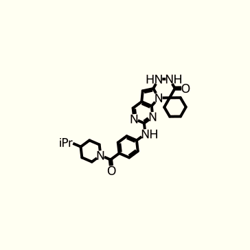 CC(C)C1CCN(C(=O)c2ccc(Nc3ncc4cc5n(c4n3)C3(CCCCC3)C(=O)NN5)cc2)CC1